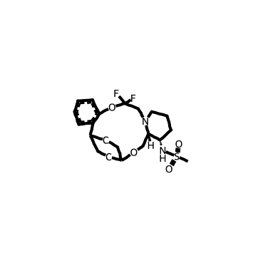 CS(=O)(=O)N[C@H]1CCCN2CC(F)(F)Oc3ccccc3C3CCC(CC3)OC[C@@H]12